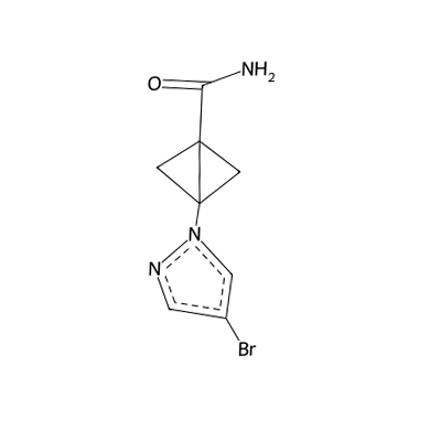 NC(=O)C12CC1(n1cc(Br)cn1)C2